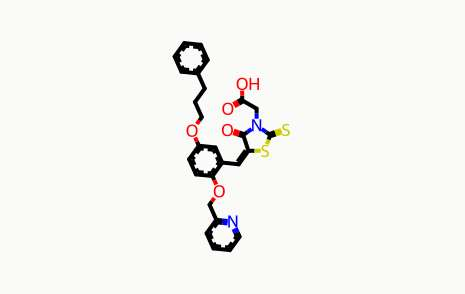 O=C(O)CN1C(=O)/C(=C\c2cc(OCCCc3ccccc3)ccc2OCc2ccccn2)SC1=S